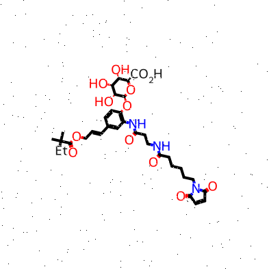 CCC(C)(C)C(=O)OC/C=C/c1ccc(O[C@@H]2O[C@H](C(=O)O)[C@@H](O)[C@H](O)[C@H]2O)c(NC(=O)CCNC(=O)CCCCCN2C(=O)C=CC2=O)c1